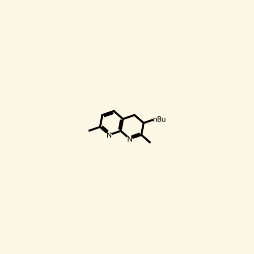 CCCCC1Cc2ccc(C)nc2N=C1C